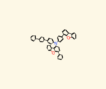 c1ccc(-c2ccc(-c3ccc(N(c4ccc(-c5cccc6c5oc5ccccc56)cc4)c4ccc(-c5ccccc5)c5oc6ccccc6c45)cc3)cc2)cc1